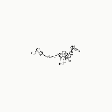 Cc1ncsc1-c1ccc(CNC(=O)[C@@H]2C[C@@H](O)CN2C(=O)[C@@H](NC(=O)COCCCOCC#Cc2ccc(C(C)C)cc2)C(C)(C)C)cc1